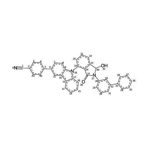 N#Cc1ccc(-c2ccc3c(c2)c2ccccc2n3-c2cccc3c2C(=O)N(c2cccc(-c4ccccc4)c2)C3O)cc1